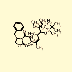 C=C[C@H](OC)C(O[Si](C)(C)C(C)(C)C)[C@H](C)/C=C(/C)[C@H](O)C(C)C(=O)N1C(=O)OC[C@H]1Cc1ccccc1